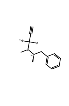 [2H]C([2H])(C#C)N(C)[C@H](C)Cc1ccccc1